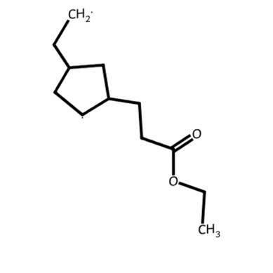 [CH2]CC1C[CH]C(CCC(=O)OCC)C1